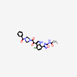 CC(=O)Nc1nc(-c2ccc(F)c3c(C(=O)C(=O)N4CCN(C(=O)c5ccccc5)CC4)c[nH]c23)no1